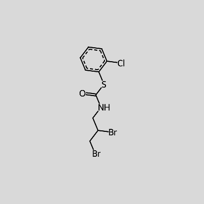 O=C(NCC(Br)CBr)Sc1ccccc1Cl